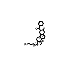 CC(C)CCC[C@@H](C)[C@H]1CC[C@H]2C3=CC=C4CC(=O)C(C(=O)c5ccccc5)C[C@]4(C)[C@H]3CC[C@]12C